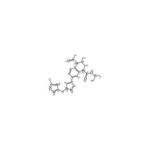 CC(=O)N1c2ccc(-c3cnn(Cc4noc(C)n4)c3)cc2N(C(=O)OC(C)C)CC1C